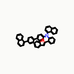 c1ccc(N(c2ccc(-c3ccc(-c4cccc5ccccc45)cc3)cc2)c2cccc3ccccc23)c(-c2cc3ccccc3o2)c1